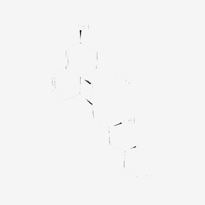 C[C@@H]1C=CC2=C[C@@H](O)C[C@H](O)[C@@H]2[C@H]1CC[C@@H](O)C[C@@H](O)CC(=O)[O-].[Na+]